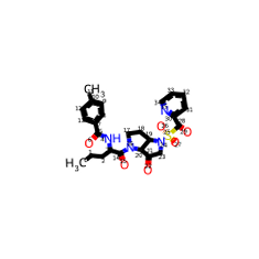 CCCC(NC(=O)c1ccc(C)cc1)C(=O)N1CCC2C1C(=O)CN2S(=O)(=O)C(=O)c1ccccn1